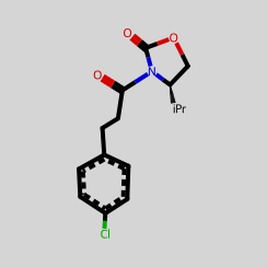 CC(C)[C@@H]1COC(=O)N1C(=O)CCc1ccc(Cl)cc1